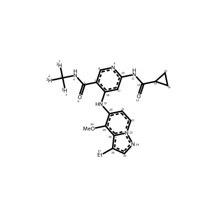 [2H]C([2H])([2H])NC(=O)c1cnc(NC(=O)C2CC2)cc1Nc1ccn2ncc(CC)c2c1OC